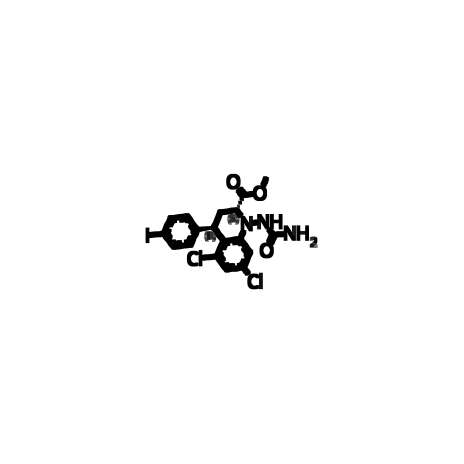 COC(=O)[C@H]1C[C@H](c2ccc(I)cc2)c2c(Cl)cc(Cl)cc2N1NC(N)=O